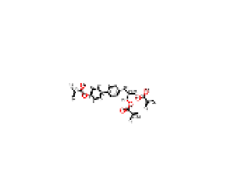 C=C(/C=C\C(=C)c1ccc(OC(=O)C(=C)C)cc1)CC(COC(=O)C(=C)C)COC(=O)C(=C)C